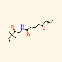 C/C=C/C(=O)CCCC(=O)NCC(=O)C(C)(C)CC